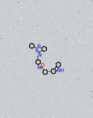 C=N/C(=N\C(=N/Cc1ccc2nc(-c3cccc(-c4ccc5[nH]c6ccccc6c5c4)c3)oc2c1)c1ccccc1)c1ccccc1